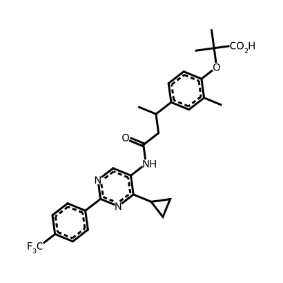 Cc1cc(C(C)CC(=O)Nc2cnc(-c3ccc(C(F)(F)F)cc3)nc2C2CC2)ccc1OC(C)(C)C(=O)O